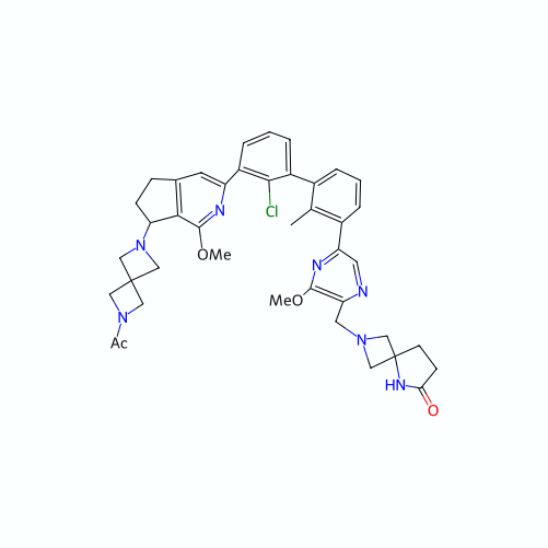 COc1nc(-c2cccc(-c3cccc(-c4cc5c(c(OC)n4)C(N4CC6(CN(C(C)=O)C6)C4)CC5)c3Cl)c2C)cnc1CN1CC2(CCC(=O)N2)C1